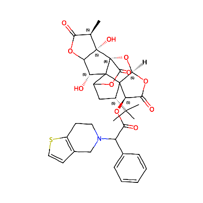 C[C@@H]1C(=O)OC2[C@@H](O)C34C5C[C@@H](C(C)(C)C)C36[C@H](OC(=O)[C@H]6OC(=O)C(c3ccccc3)N3CCc6sccc6C3)O[C@@]4(C(=O)O5)[C@@]21O